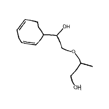 CC(CO)OCC(O)C1C=CC=CC1